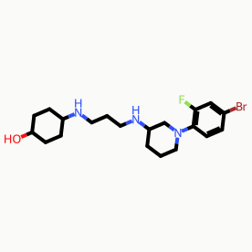 OC1CCC(NCCCNC2CCCN(c3ccc(Br)cc3F)C2)CC1